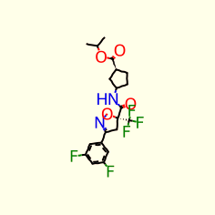 CC(C)OC(=O)[C@H]1CCC(NC(=O)[C@@]2(C(F)(F)F)CC(c3cc(F)cc(F)c3)=NO2)C1